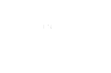 CCC(N)CCCC(C)C